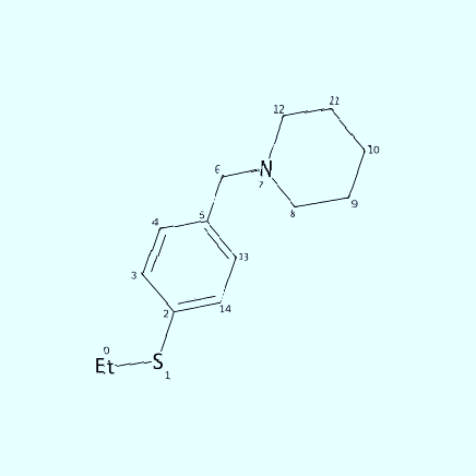 CCSc1ccc(CN2CCCCC2)cc1